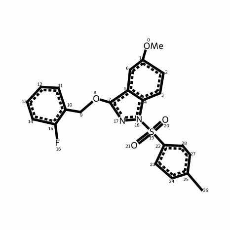 COc1ccc2c(c1)c(OCc1ccccc1F)nn2S(=O)(=O)c1ccc(C)cc1